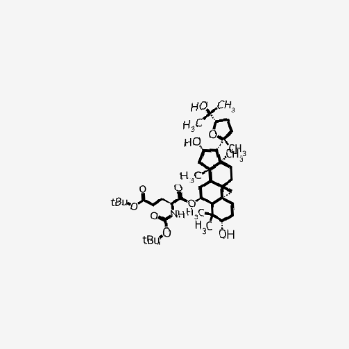 CC(C)(C)OC(=O)CC[C@H](NC(=O)OC(C)(C)C)C(=O)O[C@H]1CC2C3(CC[C@]4(C)[C@@H]([C@@]5(C)CC[C@@H](C(C)(C)O)O5)[C@@H](O)C[C@@]24C)C[C@@]32CC[C@H](O)C(C)(C)C12